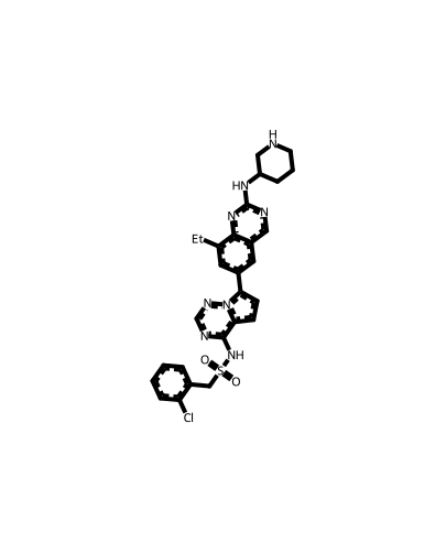 CCc1cc(-c2ccc3c(NS(=O)(=O)Cc4ccccc4Cl)ncnn23)cc2cnc(NC3CCCNC3)nc12